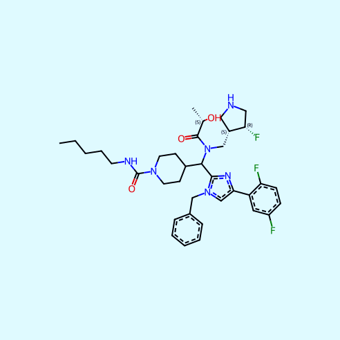 CCCCCNC(=O)N1CCC(C(c2nc(-c3cc(F)ccc3F)cn2Cc2ccccc2)N(C[C@@H]2CNC[C@@H]2F)C(=O)[C@H](C)O)CC1